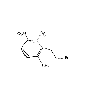 Cc1ccc([N+](=O)[O-])c(C)c1CCBr